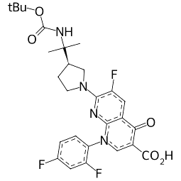 CC(C)(C)OC(=O)NC(C)(C)[C@@H]1CCN(c2nc3c(cc2F)c(=O)c(C(=O)O)cn3-c2ccc(F)cc2F)C1